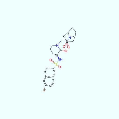 O=C1CC2CCC(C1)N2C(=O)CN1CCC[C@H](NS(=O)(=O)c2ccc3cc(Br)ccc3c2)C1=O